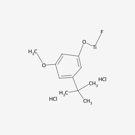 COc1cc([O][Ti][F])cc(C(C)(C)C)c1.Cl.Cl